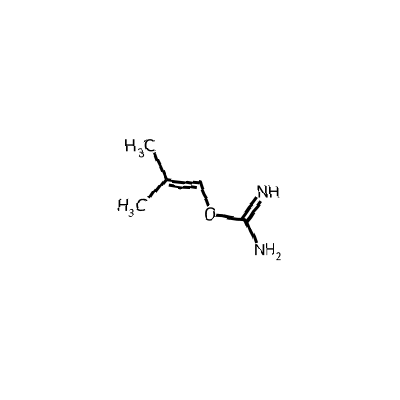 CC(C)=COC(=N)N